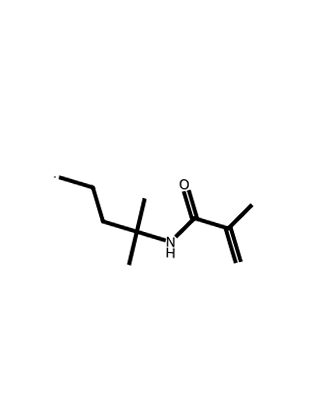 [CH2]CCC(C)(C)NC(=O)C(=C)C